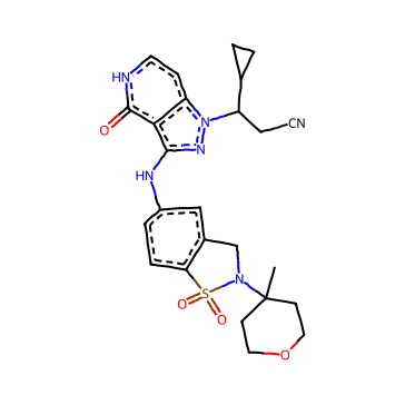 CC1(N2Cc3cc(Nc4nn(C(CC#N)C5CC5)c5cc[nH]c(=O)c45)ccc3S2(=O)=O)CCOCC1